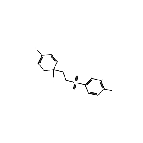 O=S(=O)(CCC1(F)C=CC(F)=CC1)c1ccc(Cl)cc1